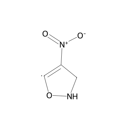 O=[N+]([O-])C1=[C]ONC1